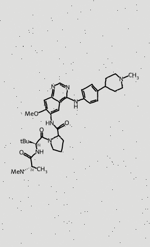 CN[C@@H](C)C(=O)N[C@H](C(=O)N1CCCC1C(=O)Nc1cc2c(Nc3ccc(C4CCN(C)CC4)cc3)ncnc2cc1OC)C(C)(C)C